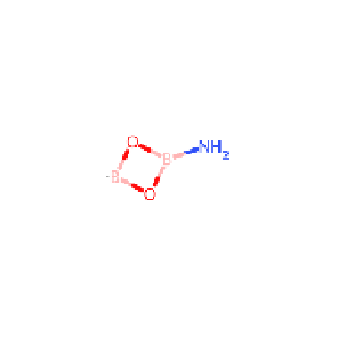 NB1O[B]O1